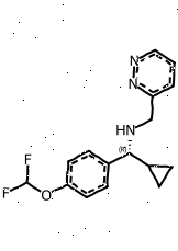 FC(F)Oc1ccc([C@H](NCc2cccnn2)C2CC2)cc1